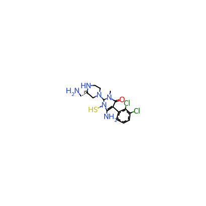 CN1C(=O)C(c2cccc(Cl)c2Cl)=C(N)N(S)C1N1CCN[C@@H](CN)C1